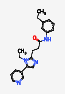 CCc1cccc(NC(=O)CCc2ncc(-c3cccnc3)n2CC)c1